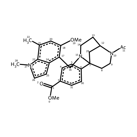 COC(=O)c1ccc(C23CCN(C(C)=O)C(CCN2Cc2c(OC)cc(C)c4c2ccn4C)C3)cc1